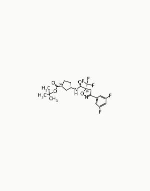 CC(C)(C)OC(=O)[C@H]1CCC(NC(=O)[C@@]2(C(F)(F)F)CC(c3cc(F)cc(F)c3)=NO2)C1